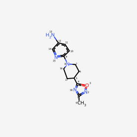 Cc1noc(C2CCN(c3ccc(N)cn3)CC2)n1